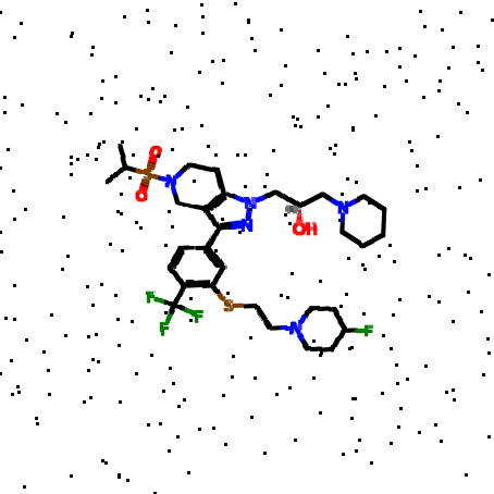 CC(C)S(=O)(=O)N1CCc2c(c(-c3ccc(C(F)(F)F)c(SCCN4CCC(F)CC4)c3)nn2C[C@@H](O)CN2CCCCC2)C1